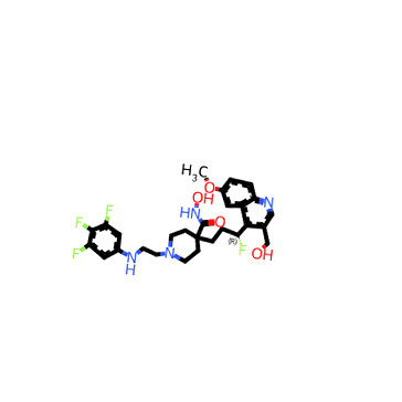 COc1ccc2ncc(CO)c([C@H](F)CCC3(C(=O)NO)CCN(CCNc4cc(F)c(F)c(F)c4)CC3)c2c1